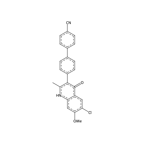 COc1cc2[nH]c(C)c(-c3ccc(-c4ccc(C#N)cc4)cc3)c(=O)c2cc1Cl